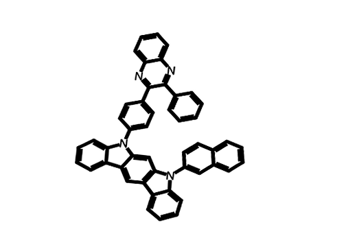 c1ccc(-c2nc3ccccc3nc2-c2ccc(-n3c4ccccc4c4cc5c6ccccc6n(-c6ccc7ccccc7c6)c5cc43)cc2)cc1